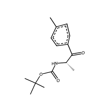 Cc1ccc(C(=O)[C@H](C)NC(=O)OC(C)(C)C)cc1